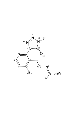 CCCC(C)=NOCc1c(CC)cccc1-n1nnn(C)c1=O